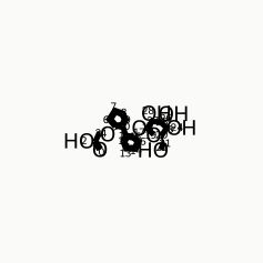 O=C(O)COc1ccccc1-c1ccccc1O[C@@H]1O[C@H](CO)[C@@H](O)[C@H](O)[C@@H]1O